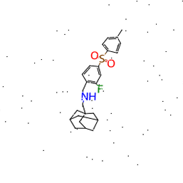 Cc1ccc(S(=O)(=O)c2ccc(CNCC34CC5CC(CC(C5)C3)C4)c(F)c2)cc1